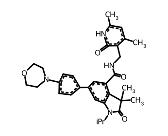 Cc1cc(C)c(CNC(=O)c2cc(-c3ccc(N4CCOCC4)cc3)cc3c2C(C)(C)C(=O)N3C(C)C)c(=O)[nH]1